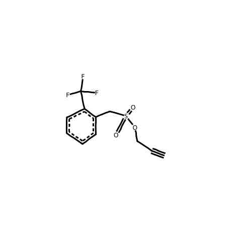 C#CCOS(=O)(=O)Cc1ccccc1C(F)(F)F